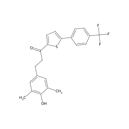 Cc1cc(CCC(=O)c2ccc(-c3ccc(C(F)(F)F)cc3)s2)cc(C)c1O